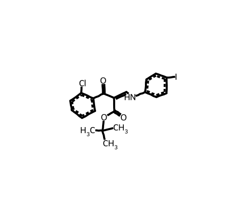 CC(C)(C)OC(=O)C(=CNc1ccc(I)cc1)C(=O)c1ccccc1Cl